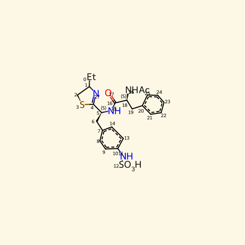 CCC1CSC([C@H](Cc2ccc(NS(=O)(=O)O)cc2)NC(=O)[C@H](Cc2ccccc2)NC(C)=O)=N1